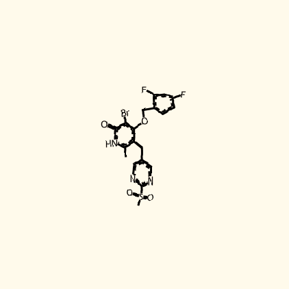 Cc1[nH]c(=O)c(Br)c(OCc2ccc(F)cc2F)c1Cc1cnc(S(C)(=O)=O)nc1